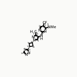 CNc1nc(Nc2cn([C@H]3C[C@H](c4nncs4)C3)nc2C)ncc1C(F)(F)F